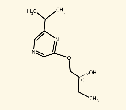 CC[C@@H](O)COc1cncc(C(C)C)n1